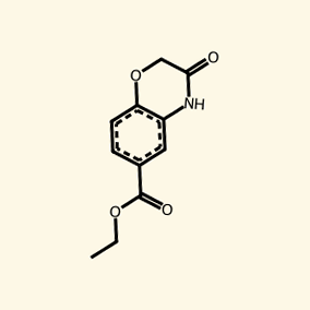 CCOC(=O)c1ccc2c(c1)NC(=O)CO2